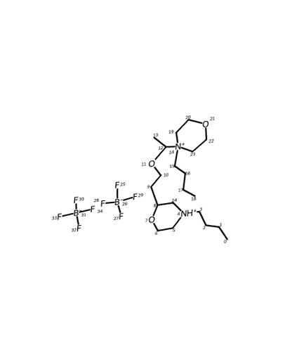 CCCC[NH+]1CCOC(CCOC(C)[N+]2(CCCC)CCOCC2)C1.F[B-](F)(F)F.F[B-](F)(F)F